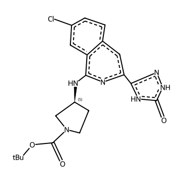 CC(C)(C)OC(=O)N1CC[C@H](Nc2nc(-c3n[nH]c(=O)[nH]3)cc3ccc(Cl)cc23)C1